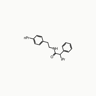 CCCc1ccc(CCNC(=O)C(c2ccccc2)C(C)C)cc1